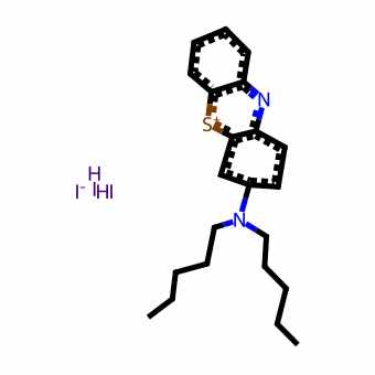 CCCCCN(CCCCC)c1ccc2nc3ccccc3[s+]c2c1.I.I.[I-]